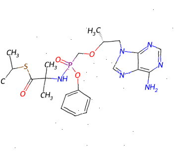 CC(C)SC(=O)C(C)(C)NP(=O)(CO[C@H](C)Cn1cnc2c(N)ncnc21)Oc1ccccc1